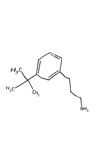 CC(C)(C)c1cccc(CCCN)c1